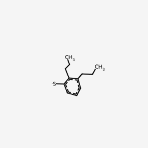 CCCc1cccc([S])c1CCC